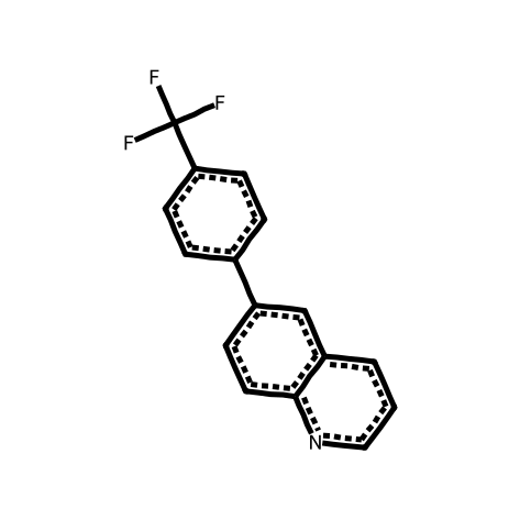 FC(F)(F)c1ccc(-c2ccc3ncccc3c2)cc1